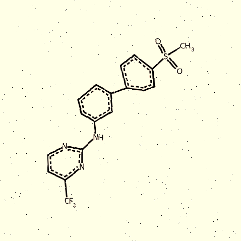 CS(=O)(=O)c1ccc(-c2cccc(Nc3nccc(C(F)(F)F)n3)c2)cc1